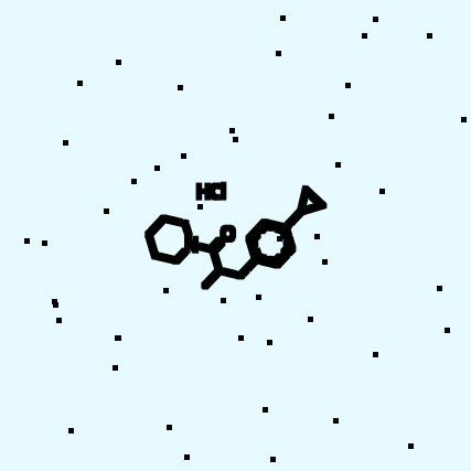 CC(Cc1ccc(C2CC2)cc1)C(=O)N1CCCCC1.Cl